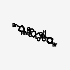 O=P1(Nc2ccc(Br)cc2)OCC2(CO1)COP(=O)(Nc1ccc(Br)cc1)OC2